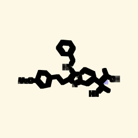 COc1ccc(CCc2nc3cc(/C(C(C)=N)=C(\C)O)ccn3c2NCc2ccccc2)cc1